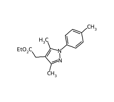 CCOC(=O)Cc1c(C)nn(-c2ccc(C)cc2)c1C